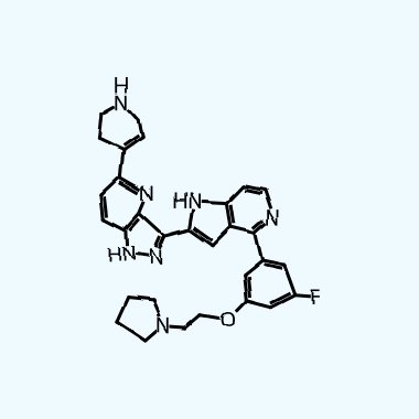 Fc1cc(OCCN2CCCC2)cc(-c2nccc3[nH]c(-c4n[nH]c5ccc(C6=CCNCC6)nc45)cc23)c1